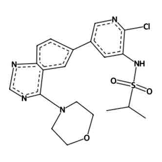 CC(C)S(=O)(=O)Nc1cc(-c2ccc3ncnc(N4CCOCC4)c3c2)cnc1Cl